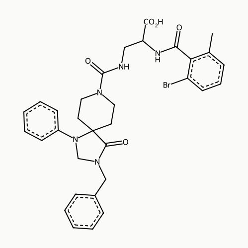 Cc1cccc(Br)c1C(=O)NC(CNC(=O)N1CCC2(CC1)C(=O)N(Cc1ccccc1)CN2c1ccccc1)C(=O)O